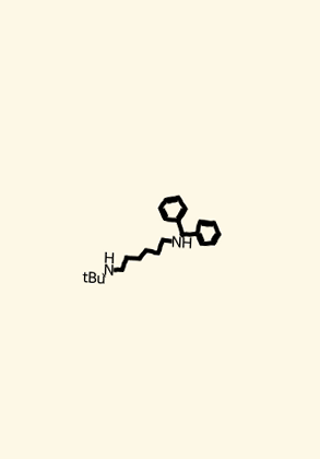 CC(C)(C)NCCCCCCNC(c1ccccc1)c1ccccc1